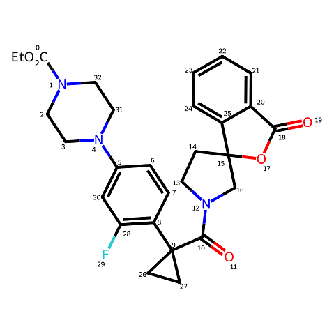 CCOC(=O)N1CCN(c2ccc(C3(C(=O)N4CCC5(C4)OC(=O)c4ccccc45)CC3)c(F)c2)CC1